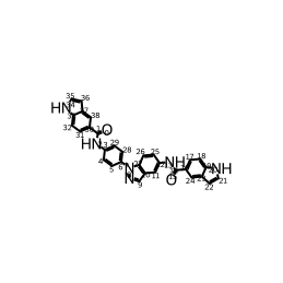 O=C(Nc1ccc(-n2ncc3cc(NC(=O)c4ccc5[nH]ccc5c4)ccc32)cc1)c1ccc2[nH]ccc2c1